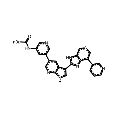 CCCCC(=O)Nc1cncc(-c2cnc3[nH]cc(-c4nc5c(-c6cccnc6)cncc5[nH]4)c3c2)c1